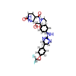 CCN(C(=O)C1CCC(=O)NC1)C(CO)c1ccc(Nc2ncc(-c3ccc(OC(F)F)cc3)cn2)cc1